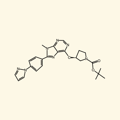 Cn1c(-c2ccc(-n3cccn3)cc2)nc2c(O[C@H]3CCN(C(=O)OC(C)(C)C)C3)ncnc21